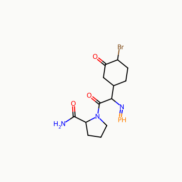 NC(=O)C1CCCN1C(=O)C(N=P)C1CCC(Br)C(=O)C1